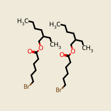 CCCCC(CC)COC(=O)CCCCCBr.CCCCC(CC)COC(=O)CCCCCBr